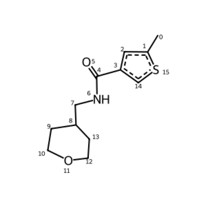 Cc1cc(C(=O)NCC2CCOCC2)cs1